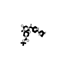 C[C@@H](c1ccc(-n2cc(F)cn2)nc1)N1CC(=O)N(C)C2(CCN(C(=O)OC(C)(C)C)CC2)C1=O